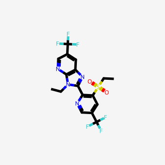 CCn1c(-c2ncc(C(F)(F)F)cc2S(=O)(=O)CC)nc2cc(C(F)(F)F)cnc21